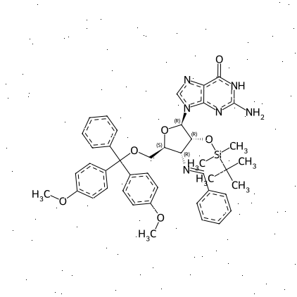 COc1ccc(C(OC[C@H]2O[C@@H](n3cnc4c(=O)[nH]c(N)nc43)[C@H](O[Si](C)(C)C(C)(C)C)[C@@H]2N=Cc2ccccc2)(c2ccccc2)c2ccc(OC)cc2)cc1